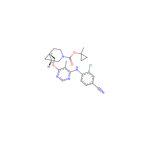 Cc1c(Nc2ccc(C#N)cc2Cl)ncnc1OC[C@@]12CCN(C(=O)OC3(C)CC3)C[C@@H]1C2